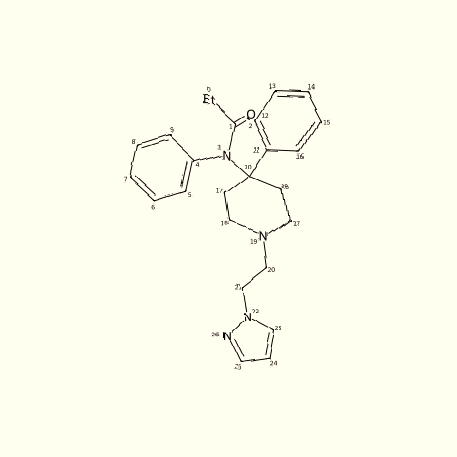 CCC(=O)N(c1ccccc1)C1(c2ccccc2)CCN(CCn2cccn2)CC1